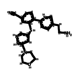 N#Cc1ccc(-c2ccc(CCN)cn2)c(Sc2cnnc(N3CCOCC3)c2)c1